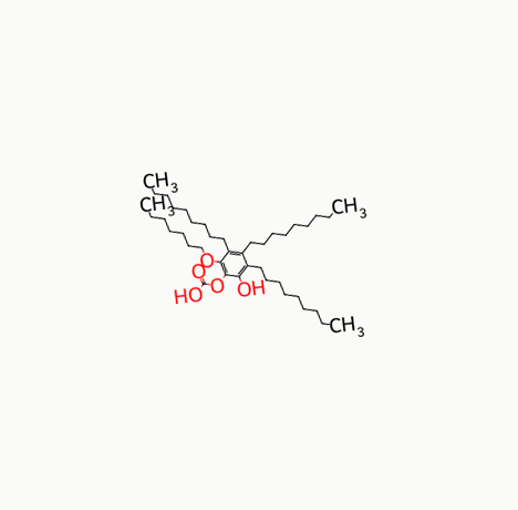 CCCCCCCCCc1c(O)c(OC(=O)O)c(OCCCCCCC)c(CCCCCCCCC)c1CCCCCCCCC